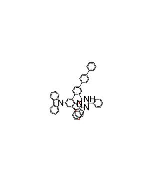 c1ccc(C2=NC(c3cc(-c4ccc(-c5ccccc5)cc4)ccc3-c3cc(-n4c5ccccc5c5ccccc54)cc4c3oc3ccccc34)NC(c3ccccc3)=N2)cc1